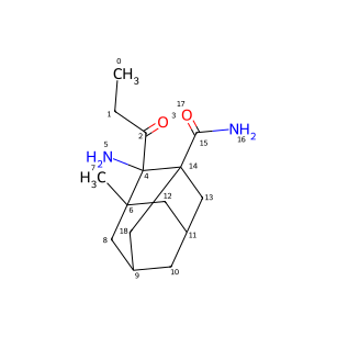 CCC(=O)C1(N)C2(C)CC3CC(C2)CC1(C(N)=O)C3